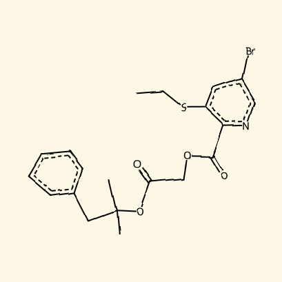 CCSc1cc(Br)cnc1C(=O)OCC(=O)OC(C)(C)Cc1ccccc1